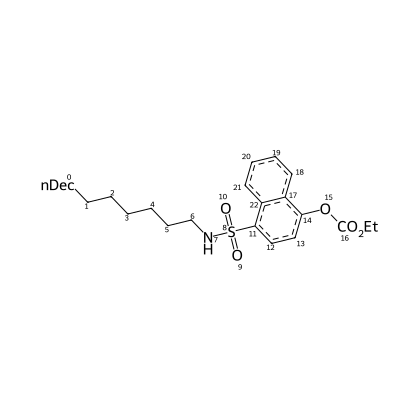 CCCCCCCCCCCCCCCCNS(=O)(=O)c1ccc(OC(=O)OCC)c2ccccc12